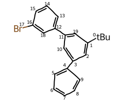 CC(C)(C)c1cc(-c2ccccc2)cc(-c2cccc(Br)c2)c1